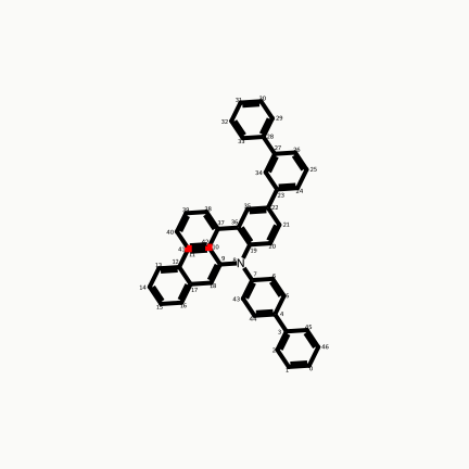 c1ccc(-c2ccc(N(c3ccc4ccccc4c3)c3ccc(-c4cccc(-c5ccccc5)c4)cc3-c3ccccc3)cc2)cc1